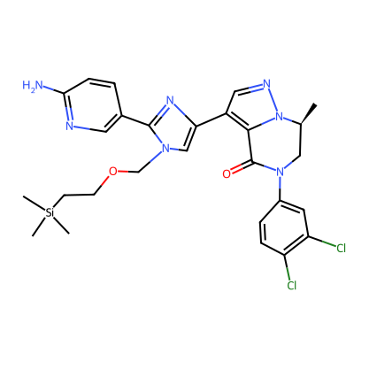 C[C@H]1CN(c2ccc(Cl)c(Cl)c2)C(=O)c2c(-c3cn(COCC[Si](C)(C)C)c(-c4ccc(N)nc4)n3)cnn21